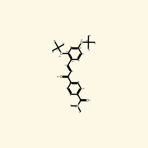 CN(C)C(=O)c1ccc(C(=O)C=Cc2ccc(OC(C)(C)C)cc2OC(C)(C)C)cc1